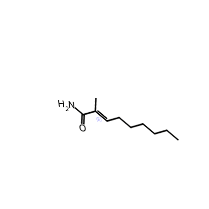 CCCCCC/C=C(\C)C(N)=O